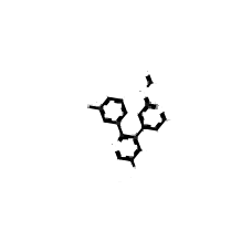 COc1cnc(-c2cccc(Cl)c2)c(-c2cc[nH]/c(=N\C=N)c2)c1